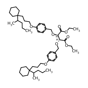 CCCC(C)C1(CCCOc2ccc(CO[C@@H](C(=O)OCC)[C@@H](OCc3ccc(OCCCC4(C(C)CCC)CCCCC4)cc3)C(=O)OCC)cc2)CCCCC1